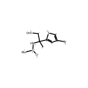 CC(CC=O)(N[S+]([O-])C(C)(C)C)c1cc(Br)cs1